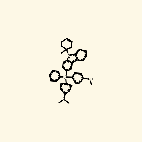 CNc1ccc([Si](c2ccccc2)(c2ccc(N(C)C)cc2)c2ccc3c(c2)c2ccccc2n3C2(C)CC=CCC2)cc1